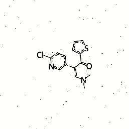 CN(C)C=C(C(=O)c1cccs1)c1ccc(Cl)nc1